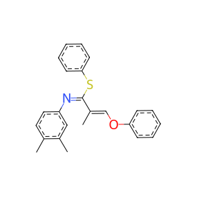 CC(=C\Oc1ccccc1)/C(=N\c1ccc(C)c(C)c1)Sc1ccccc1